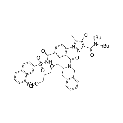 CCCCN(CCCC)C(=O)c1nn(-c2ccc(C(=O)NS(=O)(=O)c3ccc4cccc(Cl)c4c3)cc2C(=O)N2Cc3ccccc3CC2COCCCOC)c(C)c1Cl